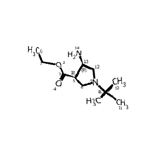 CCOC(=O)[C@@H]1CN(C(C)(C)C)C[C@@H]1N